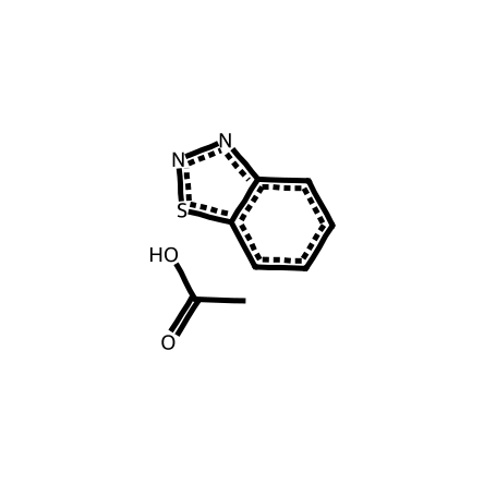 CC(=O)O.c1ccc2snnc2c1